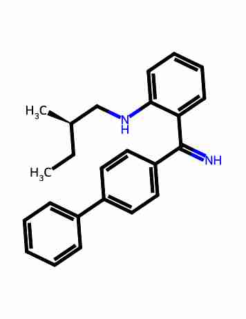 CC[C@@H](C)CNc1ccccc1C(=N)c1ccc(-c2ccccc2)cc1